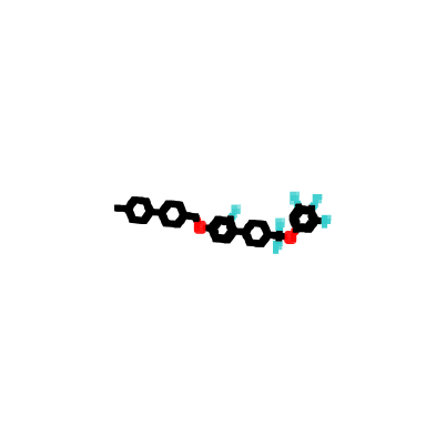 CC1CCC(C2CCC(COc3ccc(C4CCC(C(F)(F)Oc5cc(F)c(F)c(F)c5)CC4)c(F)c3)CC2)CC1